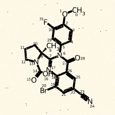 COc1ccc(-n2c([C@@]3(C)CCCN3C(=O)O)nc3c(Br)cc(C#N)cc3c2=O)cc1F